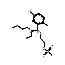 CCCC[C@H](CC)[C@@H](OCCOS(C)(=O)=O)c1cc(Cl)ccc1C